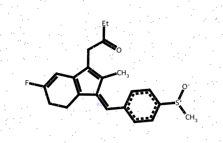 CCC(=O)CC1=C(C)/C(=C\c2ccc([S+](C)[O-])cc2)C2=C1C=C(F)CC2